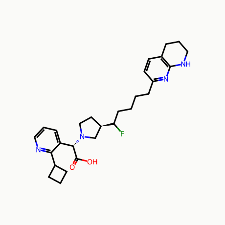 O=C(O)[C@H](c1cccnc1C1CCC1)N1CC[C@@H](C(F)CCCCc2ccc3c(n2)NCCC3)C1